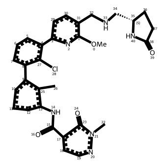 COc1nc(-c2cccc(-c3cccc(NC(=O)c4ccnn(C)c4=O)c3C)c2Cl)ccc1CNC[C@@H]1CCC(=O)N1